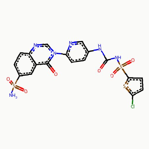 NS(=O)(=O)c1ccc2ncn(-c3ccc(NC(=O)NS(=O)(=O)c4ccc(Cl)s4)cn3)c(=O)c2c1